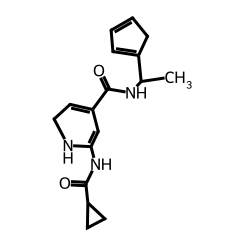 CC(NC(=O)C1=CCNC(NC(=O)C2CC2)=C1)C1=CC=CC1